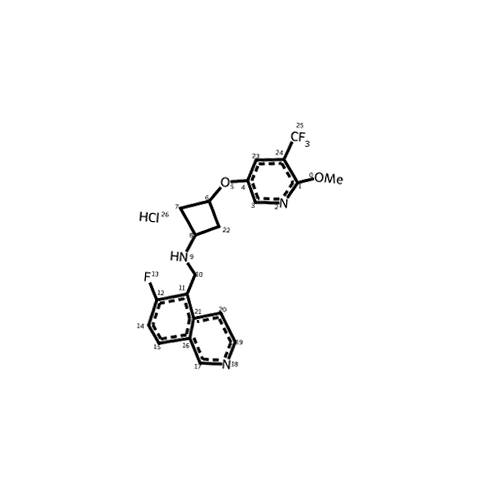 COc1ncc(OC2CC(NCc3c(F)ccc4cnccc34)C2)cc1C(F)(F)F.Cl